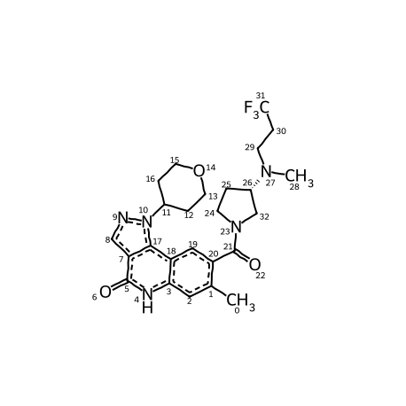 Cc1cc2[nH]c(=O)c3cnn(C4CCOCC4)c3c2cc1C(=O)N1CC[C@H](N(C)CCC(F)(F)F)C1